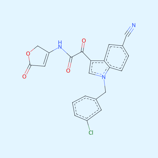 N#Cc1ccc2c(c1)c(C(=O)C(=O)NC1=CC(=O)OC1)cn2Cc1cccc(Cl)c1